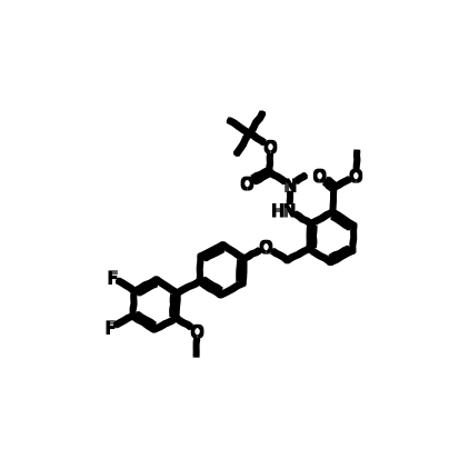 COC(=O)c1cccc(COc2ccc(-c3cc(F)c(F)cc3OC)cc2)c1NN(C)C(=O)OC(C)(C)C